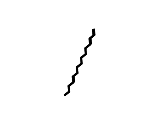 C=CC=CCCCCCCC=CCCC